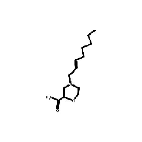 CCCCCC=CCN1CCOC(C(N)=O)C1